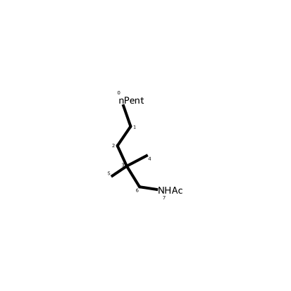 CCCCCCCC(C)(C)CNC(C)=O